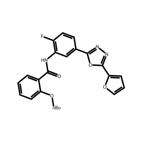 CCCCOc1ccccc1C(=O)Nc1cc(-c2nnc(-c3ccco3)o2)ccc1F